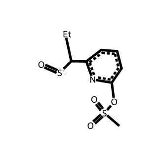 CCC([S+]=O)c1cccc(OS(C)(=O)=O)n1